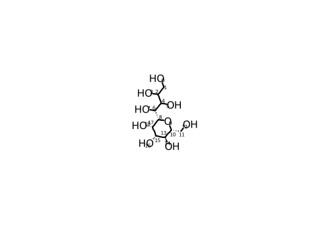 OCC(O)C(O)C(O)[C@@H]1O[C@H](CO)[C@@H](O)[C@H](O)[C@@H]1O